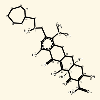 CN(Cc1cc(O)c2c(c1N(C)C)CC1C[C@H]3CC(O)=C(C(N)=O)C(=O)[C@@]3(O)C(O)=C1C2=O)CC1CCCCCC1